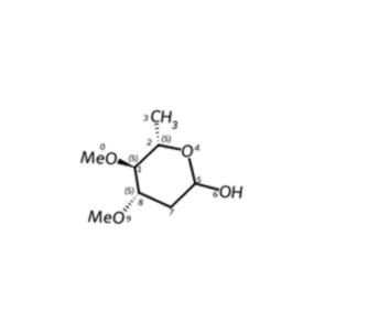 CO[C@H]1[C@H](C)OC(O)C[C@@H]1OC